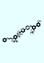 O=C(NS(=O)(=O)c1ccc(NCCSc2ccccc2)c([N+](=O)[O-])c1)c1ccc(N2CCN(Cc3cc(OC(F)(F)F)cc(-c4cccc(O)c4)c3)CC2)nn1